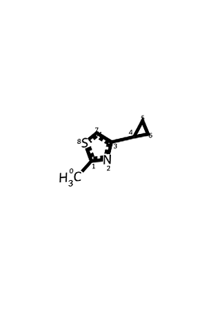 Cc1nc(C2CC2)[c]s1